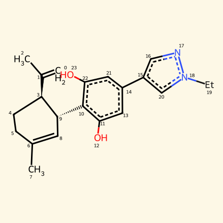 C=C(C)[C@@H]1CCC(C)=C[C@H]1c1c(O)cc(-c2cnn(CC)c2)cc1O